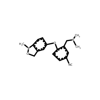 [C-]#[N+]c1ccc(Oc2ccc3c(c2)COB3C)c(CN(C)C)c1